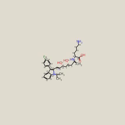 C=C(C[C@@H](O)C[C@@H](O)/C=C/c1c(-c2ccc(F)cc2)c2ccccc2n1C(C)C)NC(CCCCN)C(=O)O